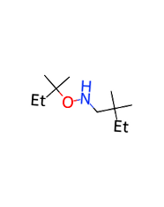 CCC(C)(C)CNOC(C)(C)CC